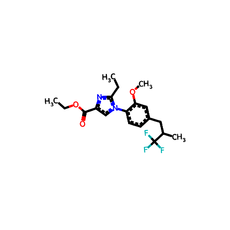 CCOC(=O)c1cn(-c2ccc(CC(C)C(F)(F)F)cc2OC)c(CC)n1